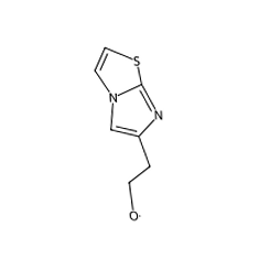 [O]CCc1cn2ccsc2n1